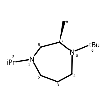 CC(C)N1CCCN(C(C)(C)C)[C@H](C)C1